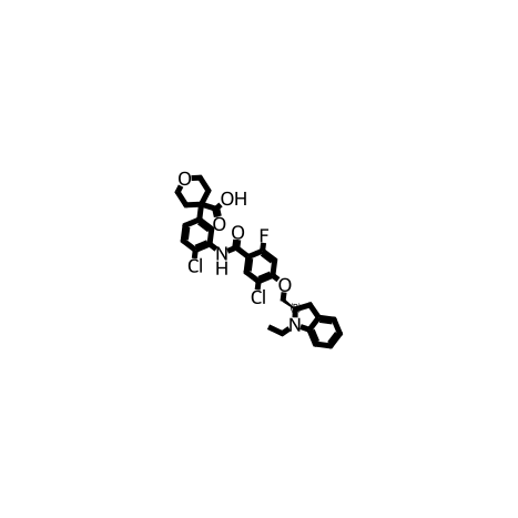 CCN1c2ccccc2C[C@@H]1COc1cc(F)c(C(=O)Nc2cc(C3(C(=O)O)CCOCC3)ccc2Cl)cc1Cl